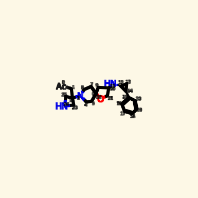 CC(=O)CC1(N2CCC3(CC2)CC(N[C@@H]2C[C@H]2c2ccccc2)CO3)CNC1